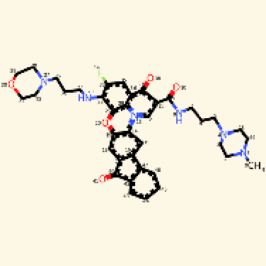 CN1CCN(CCCNC(=O)c2cn3c4cc5c(cc4oc4c(NCCCN6CCOCC6)c(F)cc(c2=O)c43)c(=O)c2ccccc25)CC1